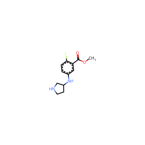 COC(=O)c1cc(NC2CCNC2)ccc1F